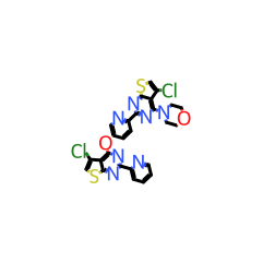 Clc1csc2nc(-c3ccccn3)nc(Oc3ccc(-c4nc(N5CCOCC5)c5c(Cl)csc5n4)nc3)c12